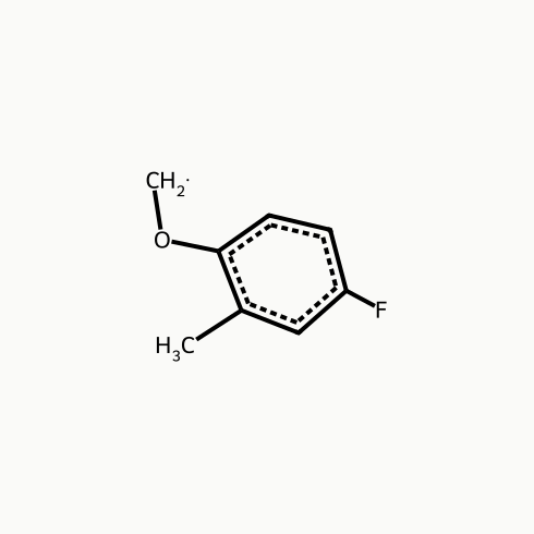 [CH2]Oc1ccc(F)cc1C